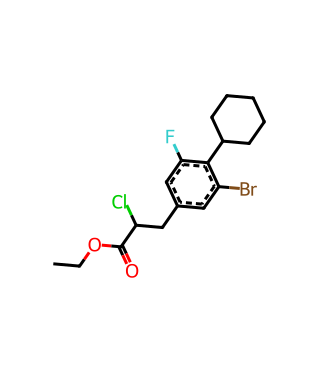 CCOC(=O)C(Cl)Cc1cc(F)c(C2CCCCC2)c(Br)c1